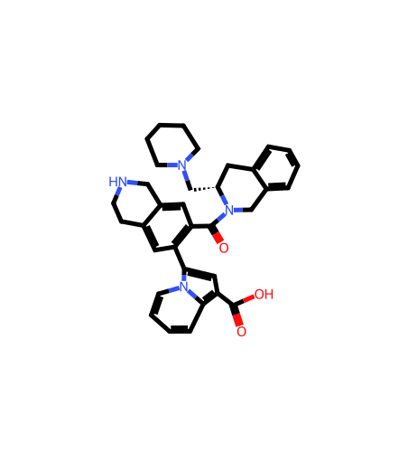 O=C(O)c1cc(-c2cc3c(cc2C(=O)N2Cc4ccccc4C[C@H]2CN2CCCCC2)CNCC3)n2ccccc12